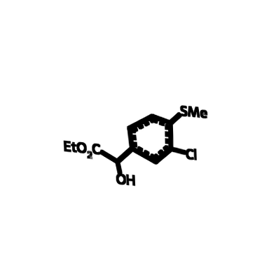 CCOC(=O)C(O)c1ccc(SC)c(Cl)c1